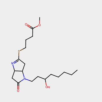 CCCCCC(O)CCN1C(=O)CC2N=C(SCCCC(=O)OC)CC21